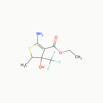 CCOC(=O)C1=C(N)SC(C)C1(O)C(F)(F)F